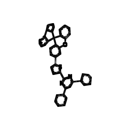 c1ccc(-c2cc(-c3ccccc3)nc(-c3ccc(-c4ccc5c(c4)Oc4ccccc4C54c5ccccc5-c5ccccc54)s3)n2)cc1